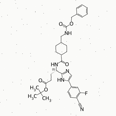 CC(C)(C)OC(=O)CC[C@H](NC(=O)C1CCC(CNC(=O)OCc2ccccc2)CC1)c1ncc(-c2ccc(C#N)c(F)c2)[nH]1